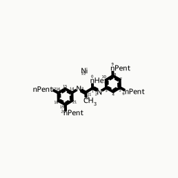 CCCCCCC(=N\c1cc(CCCCC)cc(CCCCC)c1)/C(C)=N/c1cc(CCCCC)cc(CCCCC)c1.[Ni]